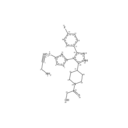 C#CCN.O=C(O)c1csc(-c2c(-c3ccc(F)cc3)n[nH]c2C2CCN(C(=O)CO)CC2)n1